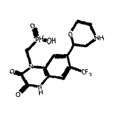 O=c1[nH]c2cc(C(F)(F)F)c(C3CNCCO3)cc2n(C[PH](=O)O)c1=O